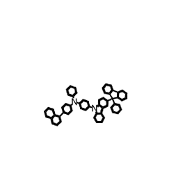 c1ccc(N(c2ccc(-c3cccc4ccccc34)cc2)c2ccc(-n3c4ccccc4c4cc(C5(c6ccccc6)c6ccccc6-c6ccccc65)ccc43)cc2)cc1